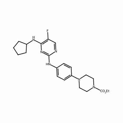 CCOC(=O)N1CCN(c2ccc(Nc3ncc(F)c(NC4CCCC4)n3)cc2)CC1